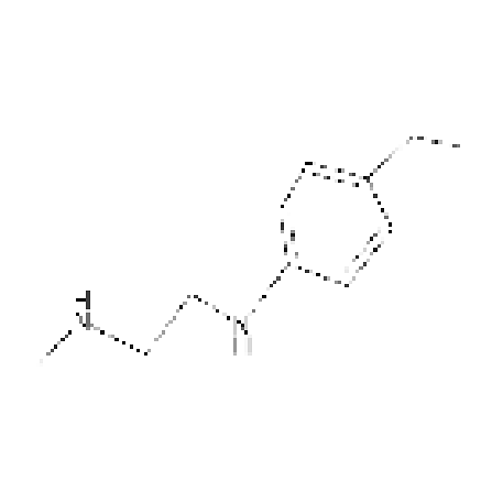 CCc1ccc(NCCNC)cc1